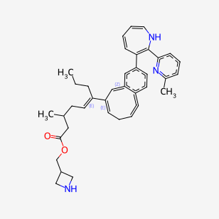 CCCC(=C\CC(C)CC(=O)OCC1CNC1)/C1=C/CC=C=c2ccc(C3=C(c4cccc(C)n4)NC=CC=C3)c\c2=C\1